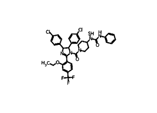 CCOc1cc(C(F)(F)F)ccc1C1=NC(c2ccc(Cl)cc2)C(c2ccc(Cl)cc2)N1C(=O)N1CCC(N(S)C(=O)Nc2ccccc2)CC1